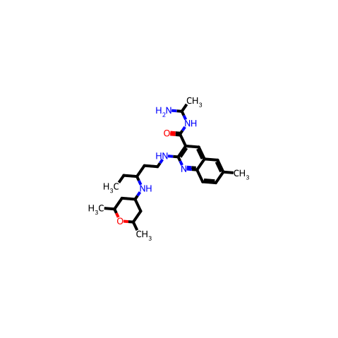 CCC(CCNc1nc2ccc(C)cc2cc1C(=O)NC(C)N)NC1CC(C)OC(C)C1